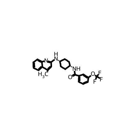 Cc1cc(N[C@H]2CC[C@@H](NC(=O)c3cccc(OC(F)(F)F)c3)CC2)nc2ccccc12